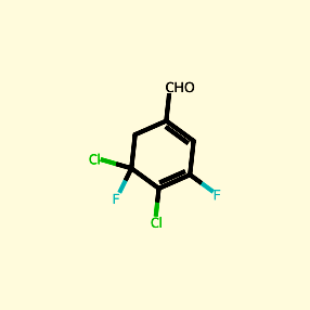 O=CC1=CC(F)=C(Cl)C(F)(Cl)C1